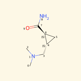 CN(C)C[C@H]1C[C@@H]1C(N)=O